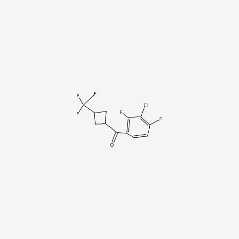 O=C(c1ccc(F)c(Cl)c1F)C1CC(C(F)(F)F)C1